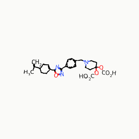 C=C(C)C1CC=C(c2nc(-c3ccc(CN4CCC(OC(=O)O)(OC(=O)O)CC4)cc3)no2)CC1